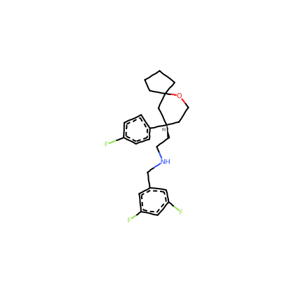 Fc1ccc([C@@]2(CCNCc3cc(F)cc(F)c3)CCOC3(CCCC3)C2)cc1